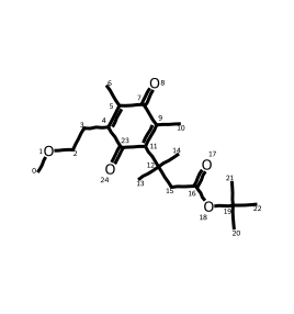 COCCC1=C(C)C(=O)C(C)=C(C(C)(C)CC(=O)OC(C)(C)C)C1=O